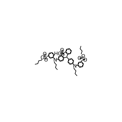 CCCCOS(=O)(=O)c1cccc(N(CCCC)c2ccc(C(c3ccc(N(CCCC)c4cccc(S(=O)(=O)OCCCC)c4)cc3)c3ccccc3S(=O)(=O)O)cc2)c1